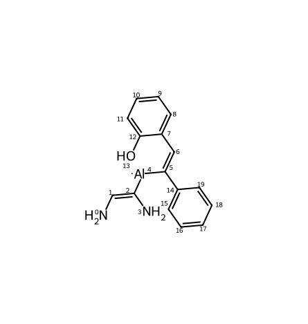 NC=[C](N)[Al][C](=Cc1ccccc1O)c1ccccc1